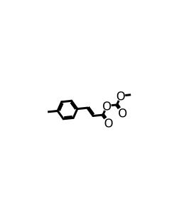 COC(=O)OC(=O)C=Cc1ccc(C)cc1